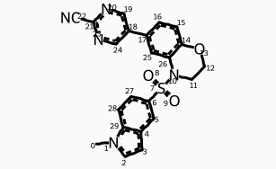 Cn1ccc2cc(S(=O)(=O)N3CCOc4ccc(-c5cnc(C#N)nc5)cc43)ccc21